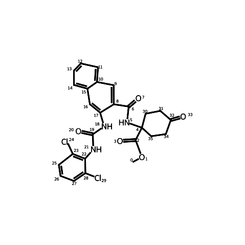 COC(=O)C1(NC(=O)c2cc3ccccc3cc2NC(=O)Nc2c(Cl)cccc2Cl)CCC(=O)CC1